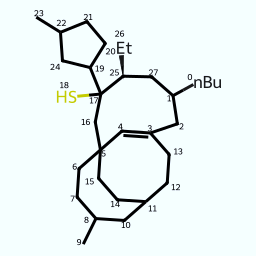 CCCCC1C/C2=C/C3(CCC(C)CC(CC2)CC3)CC(S)(C2CCC(C)C2)[C@@H](CC)C1